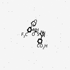 O=C(CSC1=NN=NC1c1ccc(C(=O)O)cc1)Nc1cc(C(F)(F)F)ccc1N1CCOCC1